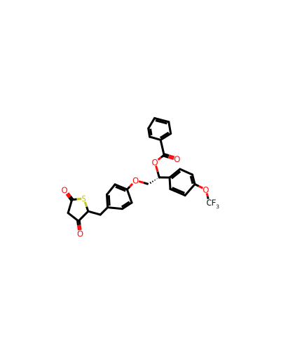 O=C1CC(=O)C(Cc2ccc(OC[C@H](OC(=O)c3ccccc3)c3ccc(OC(F)(F)F)cc3)cc2)S1